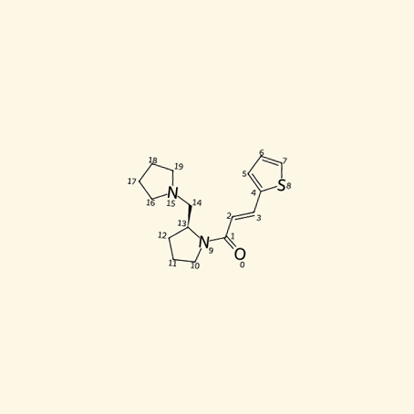 O=C(/C=C/c1cccs1)N1CCC[C@H]1CN1CCCC1